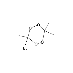 CCC1(C)OOC(C)(C)OO1